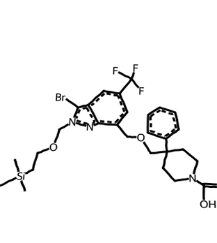 C[Si](C)(C)CCOCn1nc2c(COCC3(c4ccccc4)CCN(C(=O)O)CC3)cc(C(F)(F)F)cc2c1Br